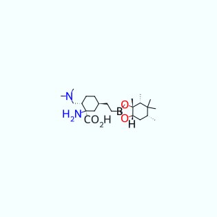 C[C@@H]1C[C@@H]2OB(CC[C@@H]3CC[C@@H](CN(C)C)[C@@](N)(C(=O)O)C3)O[C@]2(C)[C@H](C)C1(C)C